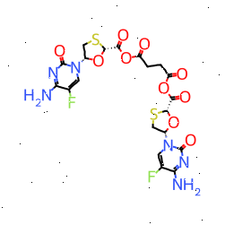 Nc1nc(=O)n([C@@H]2CS[C@H](C(=O)OC(=O)CCC(=O)OC(=O)[C@@H]3O[C@H](n4cc(F)c(N)nc4=O)CS3)O2)cc1F